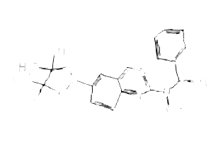 C[C@H](c1ccccc1)N(C)c1ncc2cc(B3OC(C)(C)C(C)(C)O3)ccc2n1